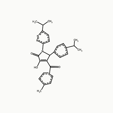 Cc1ccc(C(=O)C2=C(O)C(=O)N(c3ccc(C(C)C)nn3)C2c2ccc(C(C)C)cc2)cc1